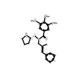 COc1cc(C(=O)N(C/C(C)=C/c2ccccc2)C[C@@H]2CCCN2)cc(OC)c1OC